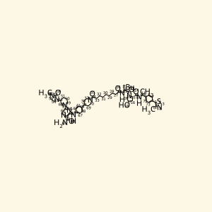 Cc1ncsc1-c1ccc([C@H](C)NC(=O)[C@@H]2C[C@@H](O)CN2C(=O)[C@@H](NC(=O)CCCCCCCC(=O)N2CCC(c3ccc(Nc4nc(N5CCC[C@@H](N6CCN(C)C6=O)C5)cnc4C(N)=O)cc3)CC2)C(C)(C)C)cc1